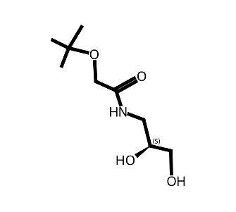 CC(C)(C)OCC(=O)NC[C@H](O)CO